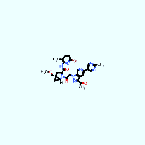 COC[C@@]12C[C@@H](C(=O)Nc3nc(Br)ccc3C)N(C(=O)Cn3nc(C(C)=O)c4cc(-c5cnc(C)nc5)ncc43)[C@@H]1C2